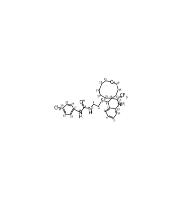 O=C(NCCSC1c2ccccc2NC(C(F)(F)F)C12CCCCCCCCC2)Nc1ccc(Cl)cc1